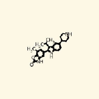 Cc1cc(-c2[nH]c3ccc(C4CCNCC4)cc3c2C(C)C)cc2[nH]c(=O)oc12